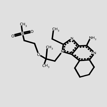 CCc1nc2c(N)nc3c(c2n1CC(C)(C)OCCS(C)(=O)=O)CCCC3